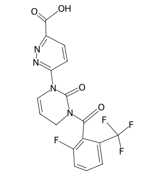 O=C(O)c1ccc(N2C=CCN(C(=O)c3c(F)cccc3C(F)(F)F)C2=O)nn1